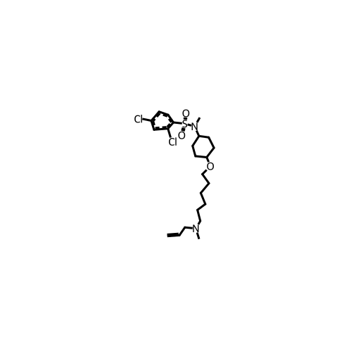 C=CCN(C)CCCCCCOC1CCC(N(C)S(=O)(=O)c2ccc(Cl)cc2Cl)CC1